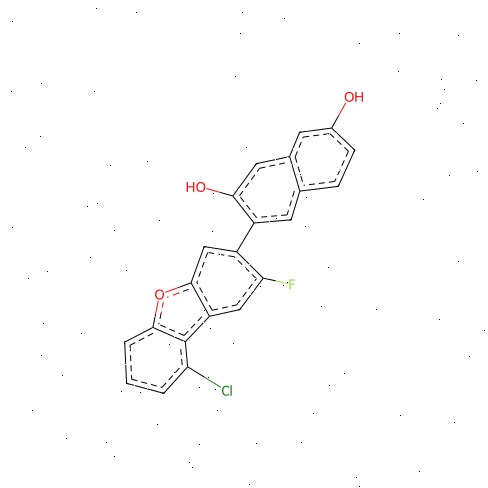 Oc1ccc2cc(-c3cc4oc5cccc(Cl)c5c4cc3F)c(O)cc2c1